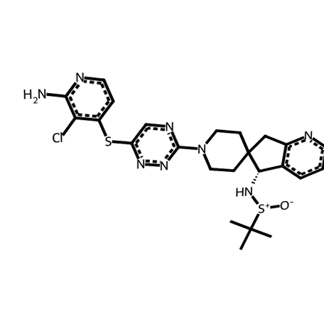 CC(C)(C)[S+]([O-])N[C@H]1c2cccnc2CC12CCN(c1ncc(Sc3ccnc(N)c3Cl)nn1)CC2